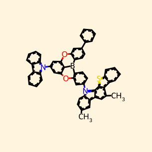 Cc1ccc2c(c1)c1cc(C)c3c4ccccc4sc3c1n2-c1ccc2c(c1)Oc1cc(-n3c4ccccc4c4ccccc43)cc3c1B2c1ccc(-c2ccccc2)cc1O3